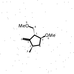 C=C1[C@H](C)C[C@H](OC)[C@H]1COC